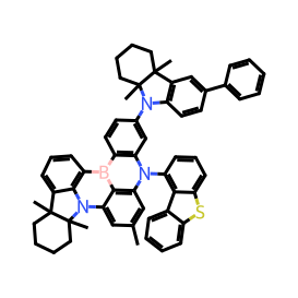 Cc1cc2c3c(c1)N1c4c(cccc4C4(C)CCCCC14C)B3c1ccc(N3c4ccc(-c5ccccc5)cc4C4(C)CCCCC34C)cc1N2c1cccc2sc3ccccc3c12